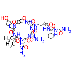 CC[C@H](C)[C@@H]1NC(=O)[C@H](Cc2ccc(O)cc2)NC(=O)CCC(=O)NC[C@@H](C(=O)NCCC2C[C@@H]2C(=O)N[C@H](C(=O)NCC(N)=O)C2CCCCC2)NC(=O)[C@H](CC(N)=O)NC(=O)[C@H](CCC(N)=O)NC1=O